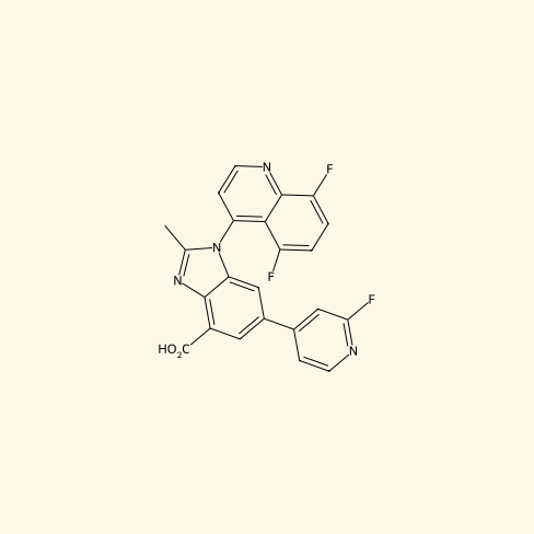 Cc1nc2c(C(=O)O)cc(-c3ccnc(F)c3)cc2n1-c1ccnc2c(F)ccc(F)c12